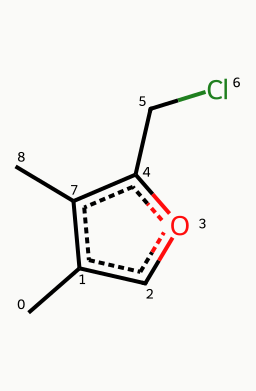 Cc1coc(CCl)c1C